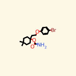 CC1(C)CCC(CCOc2ccc(Br)cc2)(OC(N)=O)CC1